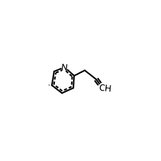 C#CCc1cc[c]cn1